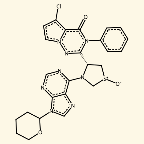 O=c1c2c(Cl)ccn2nc([C@@H]2C[S+]([O-])CN2c2ncnc3c2ncn3C2CCCCO2)n1-c1ccccc1